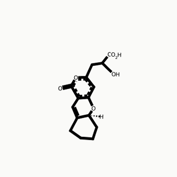 O=C(O)C(O)Cc1cc2c(c(=O)o1)C=C1CCCC[C@@H]1O2